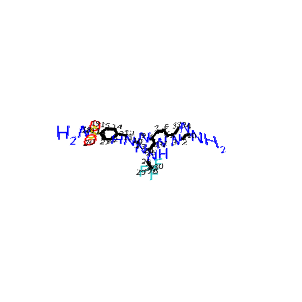 Nc1cnc(-c2ccc3nc(NCc4ccc(S(N)(=O)=O)cc4)nc(NCC(F)(F)F)c3n2)cn1